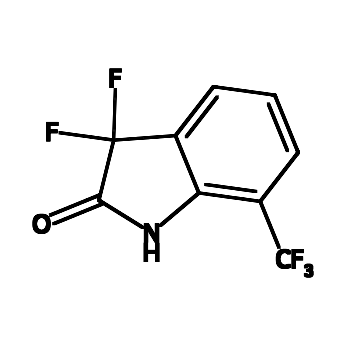 O=C1Nc2c(C(F)(F)F)cccc2C1(F)F